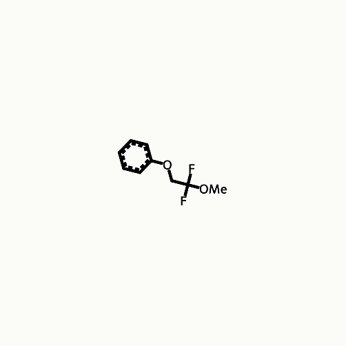 COC(F)(F)COc1ccccc1